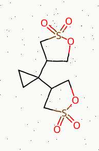 O=S1(=O)CC(C2(C3COS(=O)(=O)C3)CC2)CO1